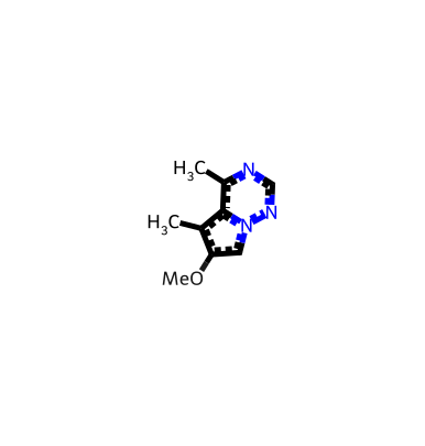 COc1cn2ncnc(C)c2c1C